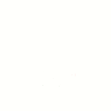 OC(C1C=CCCCCCCCCC1)C(Cl)(Cl)Cl